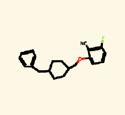 N#Cc1c(F)cccc1OCC1CCC(Cc2ccccc2)CC1